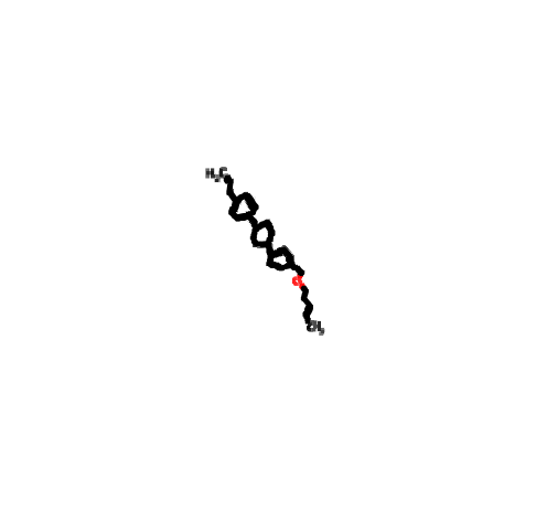 C=CCc1ccc(C2CCC(c3ccc(COCCC=CC)cc3)CC2)cc1